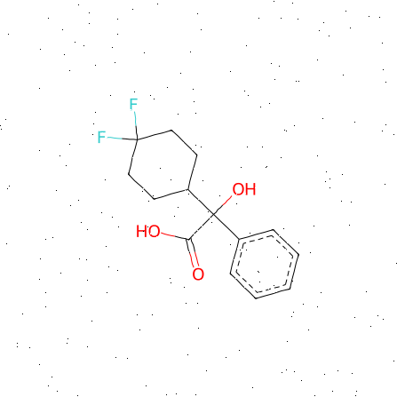 O=C(O)C(O)(c1ccccc1)C1CCC(F)(F)CC1